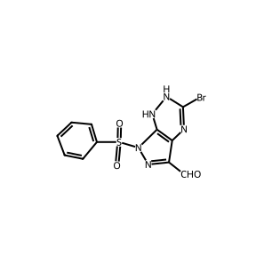 O=Cc1nn(S(=O)(=O)c2ccccc2)c2c1N=C(Br)NN2